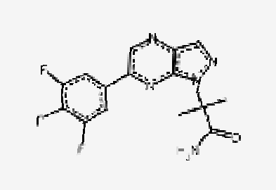 CC(C)(C(N)=O)n1ncc2ncc(-c3cc(F)c(F)c(F)c3)nc21